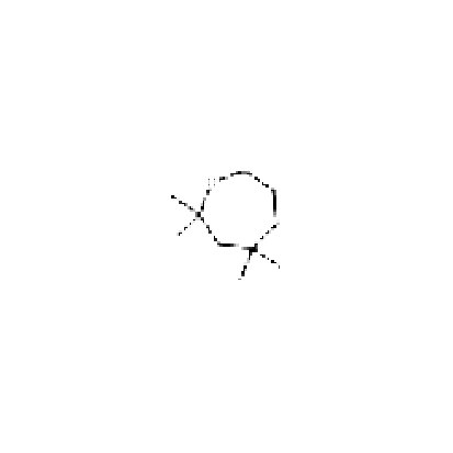 CC1(C)CCCOC(C)(C)C1